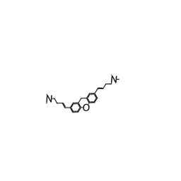 CN(C)CCC=Cc1ccc2c(c1)Cc1cc(C=CCCN(C)C)ccc1O2